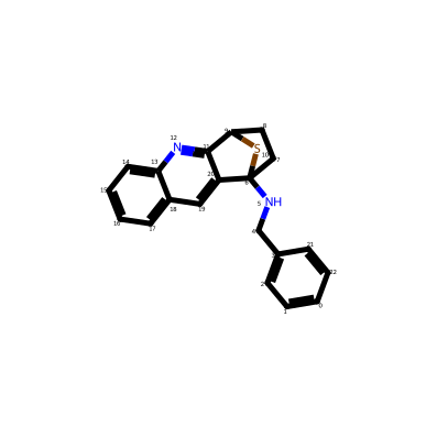 c1ccc(CNC23CCC(S2)c2nc4ccccc4cc23)cc1